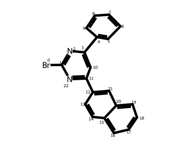 Brc1nc(-c2ccccc2)cc(-c2ccc3ccccc3c2)n1